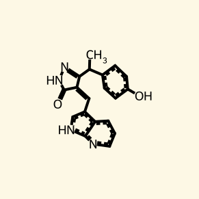 CC(C1=NNC(=O)/C1=C\c1c[nH]c2ncccc12)c1ccc(O)cc1